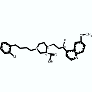 COc1ccc2nccc([C@H](F)CC[C@@H]3CCN(CCCCc4ccccc4Cl)C[C@@H]3C(=O)O)c2c1